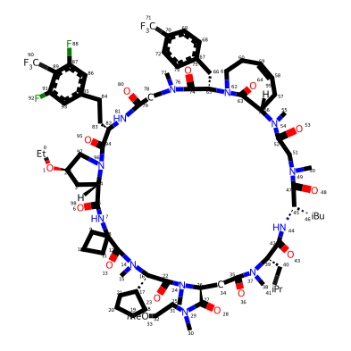 CCO[C@@H]1C[C@H]2C(=O)NC3(CCC3)C(=O)N(C)[C@@H](C3CCCC3)C(=O)N(C)[C@H](C(=O)N(C)CCOC)CC(=O)N(C)[C@@H](CC(C)C)C(=O)N[C@@H]([C@@H](C)CC)C(=O)N(C)CC(=O)N(C)[C@H]3C/C=C\CCN(C3=O)[C@@H](Cc3ccc(C(F)(F)F)cc3)C(=O)N(C)CC(=O)N[C@@H](CCc3cc(F)c(C(F)(F)F)c(F)c3)C(=O)N2C1